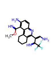 COC(=N)c1c(N)ccc2nc(/C(=C/N)C(=N)C(F)(F)F)c3c(c12)CCCC3